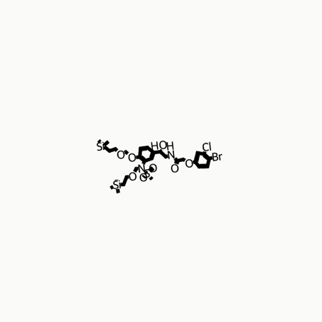 C[Si](C)(C)CCOCOc1ccc([C@@H](O)CNC(=O)COc2ccc(Br)c(Cl)c2)cc1N(COCC[Si](C)(C)C)S(C)(=O)=O